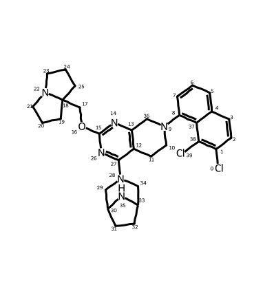 Clc1ccc2cccc(N3CCc4c(nc(OCC56CCCN5CCC6)nc4N4CC5CCC(C4)N5)C3)c2c1Cl